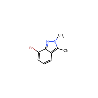 Cn1nc2c(Br)cccc2c1C#N